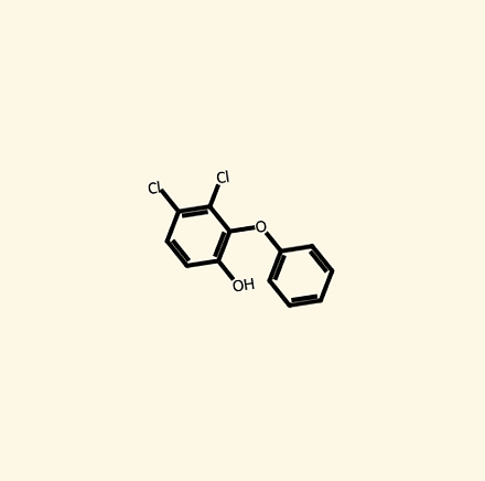 Oc1ccc(Cl)c(Cl)c1Oc1ccccc1